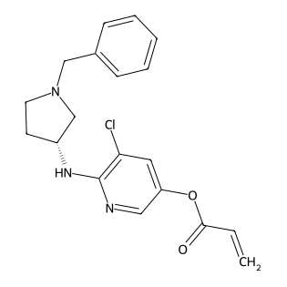 C=CC(=O)Oc1cnc(N[C@@H]2CCN(Cc3ccccc3)C2)c(Cl)c1